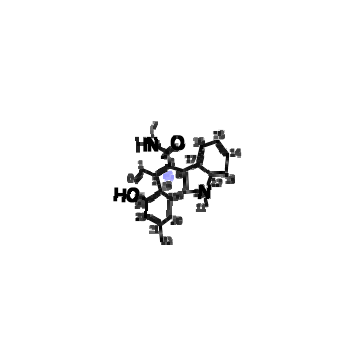 C=C/C(=C(\C(=O)NC)c1cn(C)c2ccccc12)c1ccc(C)cc1O